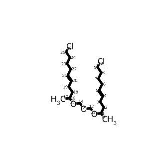 CC(CCC=CCCCCCl)OCOCOC(C)CCC=CCCCCCl